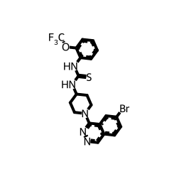 FC(F)(F)Oc1ccccc1NC(=S)NC1CCN(c2nncc3ccc(Br)cc23)CC1